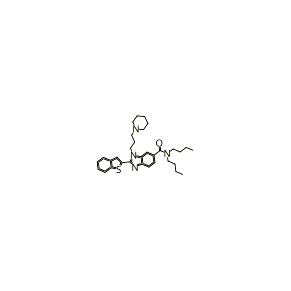 CCCCN(CCCC)C(=O)c1ccc2nc(-c3cc4ccccc4s3)n(CCCN3CCCCC3)c2c1